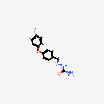 NC(=O)N/N=C/c1ccc(Oc2ccc(F)cc2)cc1